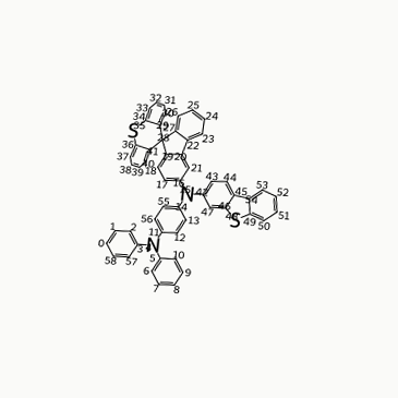 c1ccc(N(c2ccccc2)c2ccc(N(c3ccc4c(c3)-c3ccccc3C43c4ccccc4Sc4ccccc43)c3ccc4c(c3)sc3ccccc34)cc2)cc1